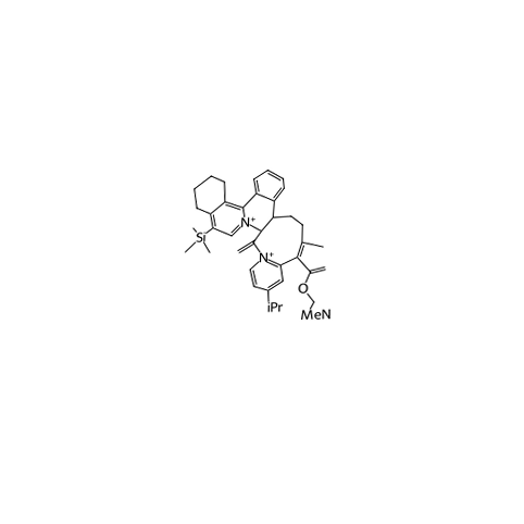 C=C(OCNC)C1=C(C)CCC2c3ccccc3-c3c4c(c([Si](C)(C)C)c[n+]3C2C(=C)[n+]2ccc(C(C)C)cc21)CCCC4